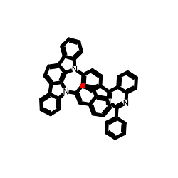 c1ccc(-c2nc(-c3ccc(-n4c5ccccc5c5ccc6c7ccccc7n(-c7ccc8ccccc8c7)c6c54)cc3)c3ccccc3n2)cc1